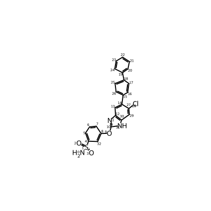 NS(=O)(=O)c1cccc(Oc2nc3cc(-c4ccc(-c5ccccc5)cc4)c(Cl)cc3[nH]2)c1